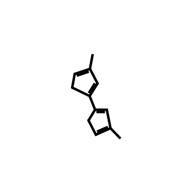 CC1=CCC(C2=CC(C)=CC2)=C1